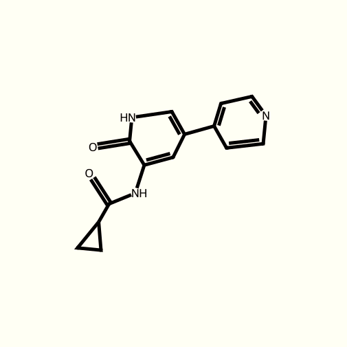 O=C(Nc1cc(-c2ccncc2)c[nH]c1=O)C1CC1